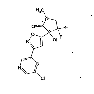 CN1CC(F)(F)C(O)(c2cc(-c3cncc(Cl)n3)no2)C1=O